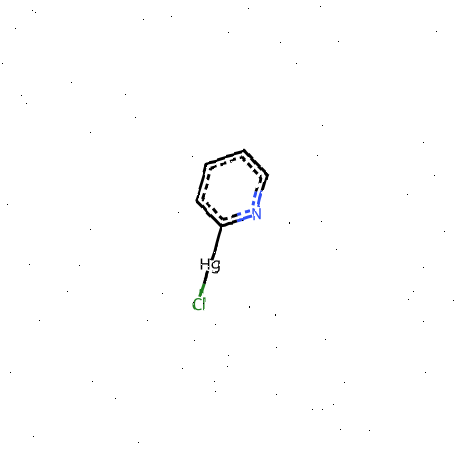 [Cl][Hg][c]1ccccn1